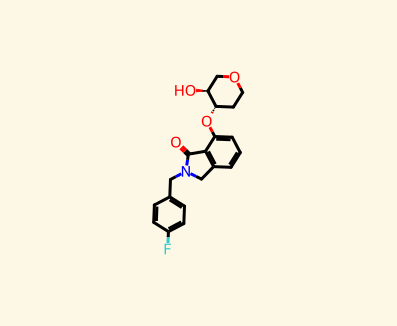 O=C1c2c(cccc2O[C@H]2CCOC[C@@H]2O)CN1Cc1ccc(F)cc1